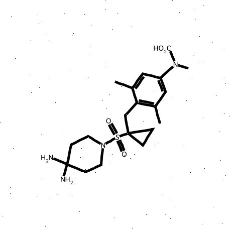 Cc1cc(N(C)C(=O)O)cc(C)c1CC1(S(=O)(=O)N2CCC(N)(N)CC2)CC1